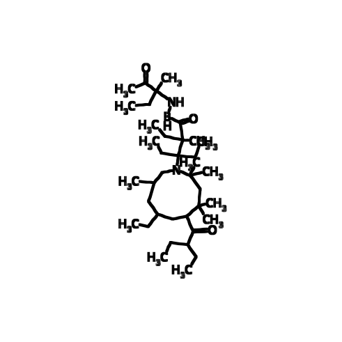 CCC1CC(C)CN(C(CC)(CC)C(C)(CC)C(=O)BNC(C)(CC)C(C)=O)C(C)(C)CC(C)(C)C(C(=O)C(CC)CC)C1